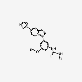 CCNC(=O)Nc1cc(OC(C)C)cc(-c2cnc3cc(-c4nncs4)ccn23)c1